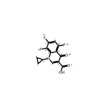 O=C(O)c1cn(C2CC2)c2c(F)c(F)cc(F)c2c1=O